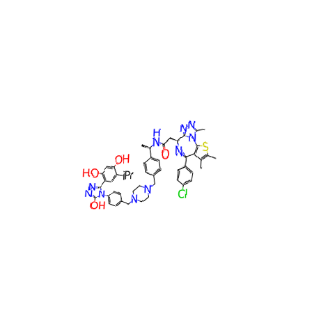 Cc1sc2c(c1C)C(c1ccc(Cl)cc1)=N[C@@H](CC(=O)N[C@H](C)c1ccc(CN3CCN(Cc4ccc(-n5c(O)nnc5-c5cc(C(C)C)c(O)cc5O)cc4)CC3)cc1)c1nnc(C)n1-2